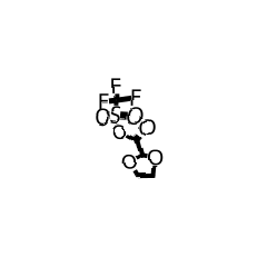 O=C(OS(=O)(=O)C(F)(F)F)C1OCCO1